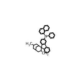 CC1CC2CC(C)C3(c4ccccc4-c4cc(N(c5ccccc5)c5cccc6ccccc56)ccc43)C(C1)C2